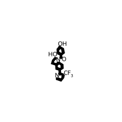 O=C(c1ccc(O)cc1O)N1CCCc2cc(-c3ncccc3C(F)(F)F)ccc21